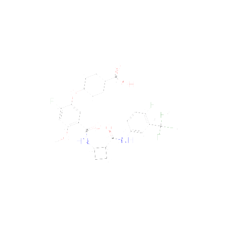 COc1cc(F)c(OC2CCC(C(=O)O)CC2)cc1C(=O)NC1CCC1C(=O)Nc1ccc(F)c(C(F)(F)F)c1